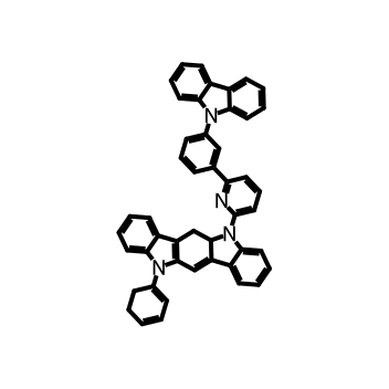 C1=CCCC(n2c3c(c4ccccc42)CC2C(=C3)c3ccccc3N2c2cccc(-c3cccc(-n4c5ccccc5c5ccccc54)c3)n2)=C1